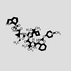 CC[C@@H]1C[C@]1(NC(=O)[C@@H]1C[C@@]2(CN1C(=O)[C@@H](NC(=O)[C@@H](NC(=O)OC1CCN(C)CC1)C1CCCCC1)C(C)(C)C)C(C)(C)C21CCC1)C(=O)NS(=O)(=O)c1cccc2cc[nH]c12